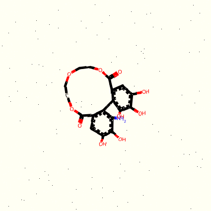 Nc1c(O)c(O)cc2c1-c1c(cc(O)c(O)c1O)C(=O)OCCOCCOC2=O